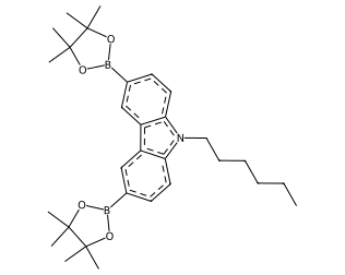 CCCCCCn1c2ccc(B3OC(C)(C)C(C)(C)O3)cc2c2cc(B3OC(C)(C)C(C)(C)O3)ccc21